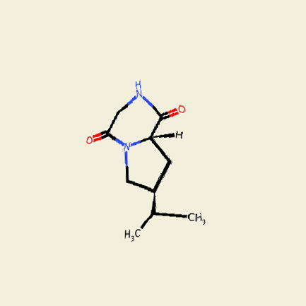 CC(C)[C@@H]1C[C@H]2C(=O)NCC(=O)N2C1